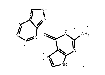 Nc1nc2[nH]cnc2c(=O)[nH]1.c1ncc2c[nH]nc2n1